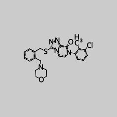 Cc1c(Cl)cccc1-n1ccn2c(SCc3ccccc3CN3CCOCC3)nnc2c1=O